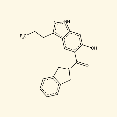 O=C(c1cc2c(CCC(F)(F)F)n[nH]c2cc1O)N1Cc2ccccc2C1